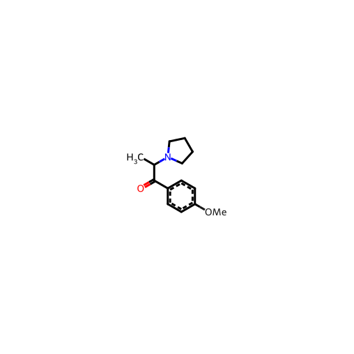 COc1ccc(C(=O)C(C)N2CCCC2)cc1